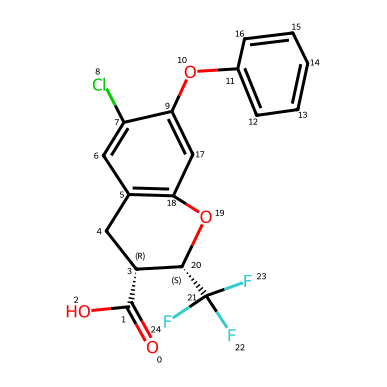 O=C(O)[C@@H]1Cc2cc(Cl)c(Oc3ccccc3)cc2O[C@@H]1C(F)(F)F